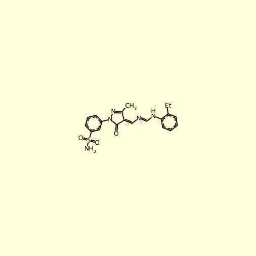 CCc1ccccc1N/C=N/C=C1/C(=O)N(c2cccc(S(N)(=O)=O)c2)N=C1C